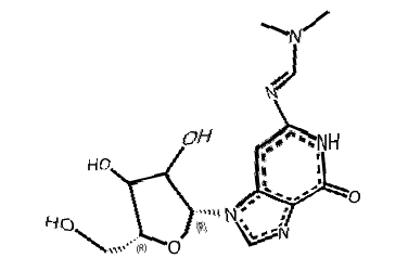 CN(C)C=Nc1cc2c(ncn2[C@@H]2O[C@H](CO)C(O)C2O)c(=O)[nH]1